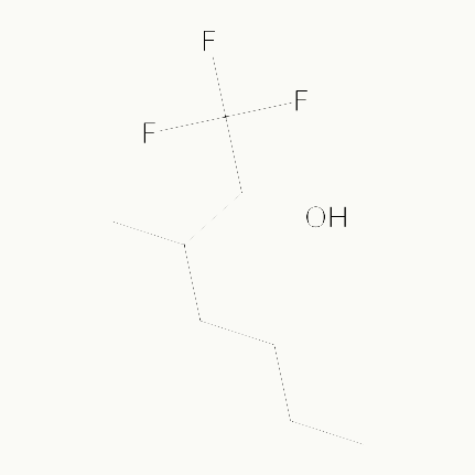 CCCCC(C)[C@@H](O)C(F)(F)F